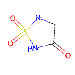 O=C1C[N]S(=O)(=O)N1